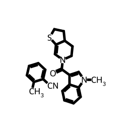 Cc1ccccc1C#N.Cn1cc(C(=O)N2C=C3SCCC3CC2)c2ccccc21